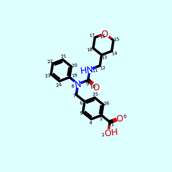 O=C(O)c1ccc(CN(C(=O)NCC2CCOCC2)c2ccccc2)cc1